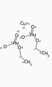 CCO[PH](=O)[O-].CCO[PH](=O)[O-].[Cu+2]